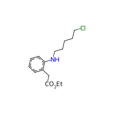 CCOC(=O)Cc1ccccc1NCCCCCCl